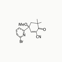 CO[C@]1(c2cccc(Br)n2)C=C(C#N)C(=O)C(C)(C)C1